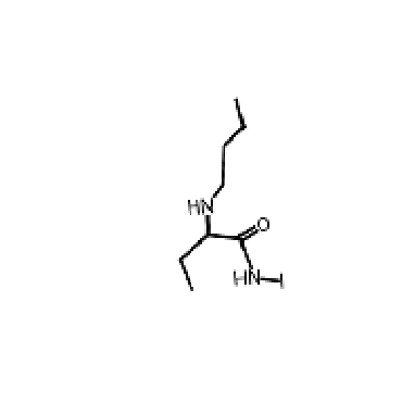 CCCCNC(CC)C(=O)NI